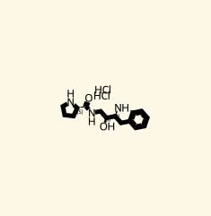 Cl.Cl.N[C@H](Cc1ccccc1)[C@@H](O)CNC(=O)[C@@H]1CCCN1